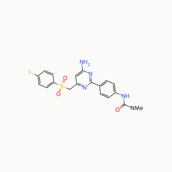 CNC(=O)Nc1ccc(-c2nc(N)cc(CS(=O)(=O)c3ccc(F)cc3)n2)cc1